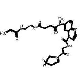 CCC(=O)NCCNC(=O)CCC(=O)N(C)c1ccc2nccc(C(=O)NCC(=O)N3CCC(F)(F)C3)c2c1